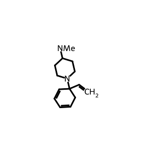 C=CC1(N2CCC(NC)CC2)C=CC=CC1